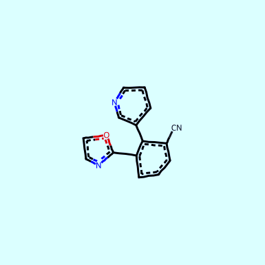 N#Cc1cccc(-c2ncco2)c1-c1cccnc1